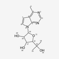 Cc1ncnc2c1ccn2C1OC(C(C)(C)O)C(O)C1O